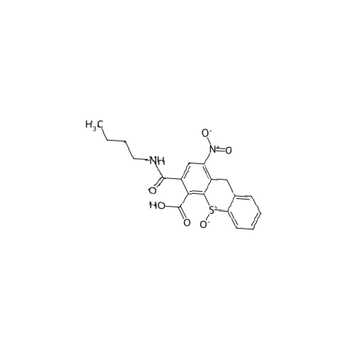 CCCCNC(=O)c1cc([N+](=O)[O-])c2c(c1C(=O)O)[S+]([O-])c1ccccc1C2